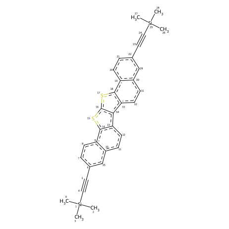 C[Si](C)(C)C#Cc1ccc2c(ccc3c2sc2sc4c5ccc(C#C[Si](C)(C)C)cc5ccc4c23)c1